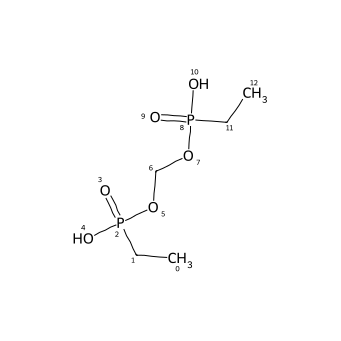 CCP(=O)(O)OCOP(=O)(O)CC